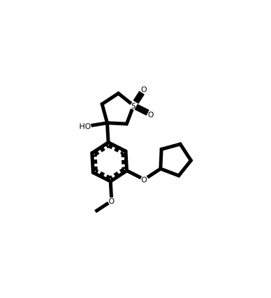 COc1ccc(C2(O)CCS(=O)(=O)C2)cc1OC1CCCC1